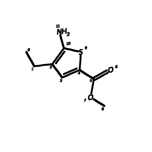 CCc1cc(C(=O)OC)sc1N